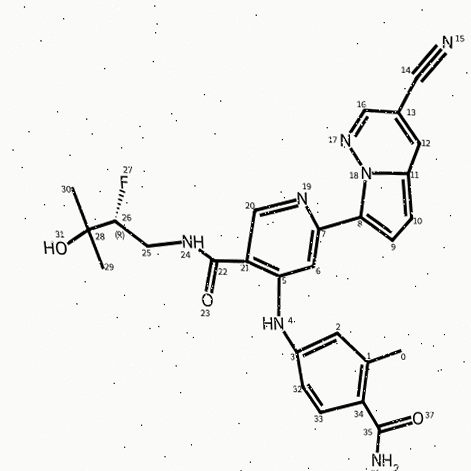 Cc1cc(Nc2cc(-c3ccc4cc(C#N)cnn34)ncc2C(=O)NC[C@@H](F)C(C)(C)O)ccc1C(N)=O